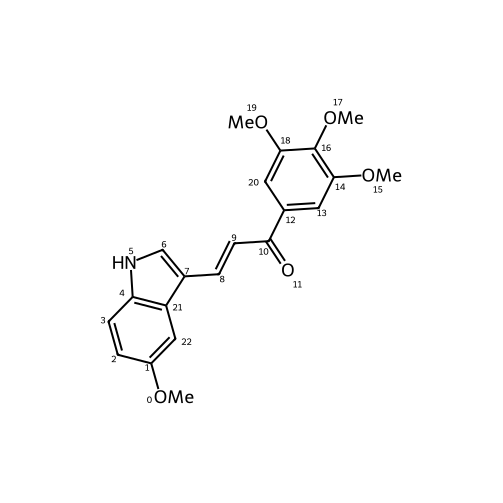 COc1ccc2[nH]cc(C=CC(=O)c3cc(OC)c(OC)c(OC)c3)c2c1